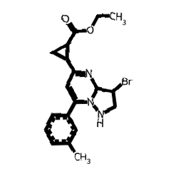 CCOC(=O)C1CC1C1=NC2C(Br)CNN2C(c2cccc(C)c2)=C1